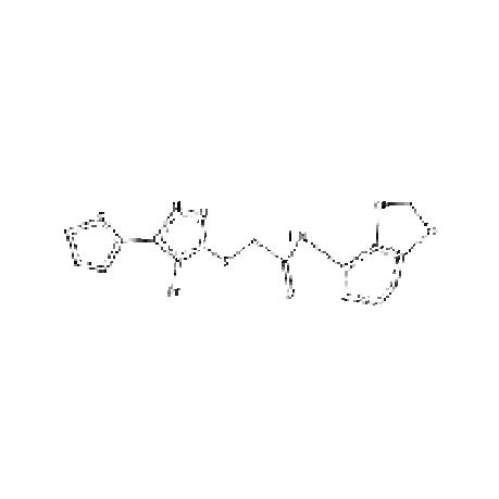 CCn1c(SCC(=O)Nc2cccc3c2OCO3)nnc1-c1cccs1